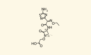 CCON=C(C(=O)N[C@@H]1C(=O)N(OCC(=O)O)[C@H]1C)c1nsc(N)n1